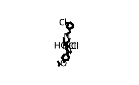 CC(C)Oc1ccc(N(C)CCC2(O)CCN(CCc3cccc(Cl)c3)CC2)cc1.Cl.Cl